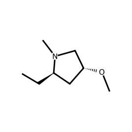 CC[C@@H]1C[C@@H](OC)CN1C